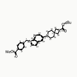 COC(=O)c1ccc(Cn2ccc3cc(N4CCC5(CC4)CN(C(=O)OC(C)(C)C)C5)cnc32)cc1